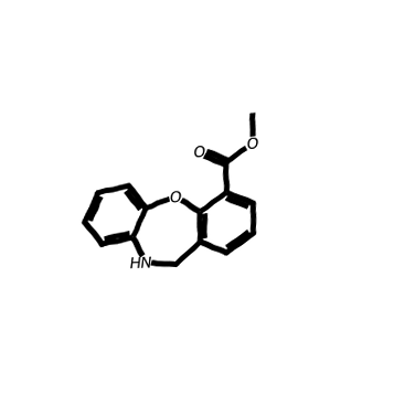 COC(=O)c1cccc2c1Oc1ccccc1NC2